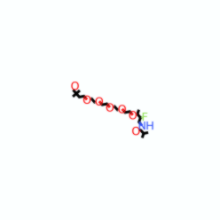 CC(C)C(=O)NCC(F)C(C)OCCOCCOCCOCCOCCC(C)(C)C=O